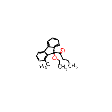 CCCC(=O)C1(OCC)c2ccccc2-c2cccc(C)c21